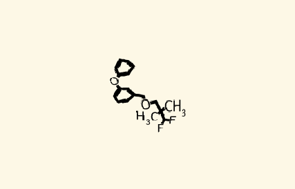 CC(C)(COCc1cccc(Oc2ccccc2)c1)C(F)F